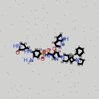 CC(C)c1ccccc1[C@@H]1CCCN1C1CC2(CCN(c3cc(Oc4cnc5[nH]ccc5c4)c(C(=O)NS(=O)(=O)c4ccc(NCC5CCNC(=O)C5)c(N)c4)cn3)CC2)C1